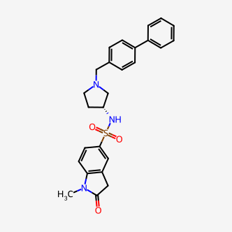 CN1C(=O)Cc2cc(S(=O)(=O)N[C@@H]3CCN(Cc4ccc(-c5ccccc5)cc4)C3)ccc21